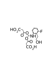 O=C(O)CC(=O)OC(Nc1cccc(F)c1CCO)OC(=O)CC(=O)O